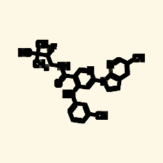 CC(C)(O)C(F)CNC(=O)c1cnc(-n2ccc3cc(C#N)cnc32)cc1Nc1cccc(C#N)c1